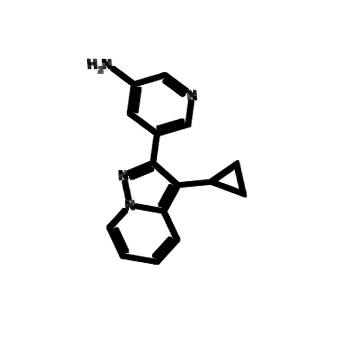 Nc1cncc(-c2nn3ccccc3c2C2CC2)c1